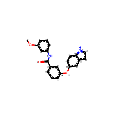 COc1cccc(NC(=O)c2cccc(Oc3ccc4[nH]ccc4c3)c2)c1